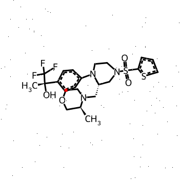 C[C@H]1COCCN1C[C@H]1CN(S(=O)(=O)c2cccs2)CCN1c1ccc([C@](C)(O)C(F)(F)F)cc1